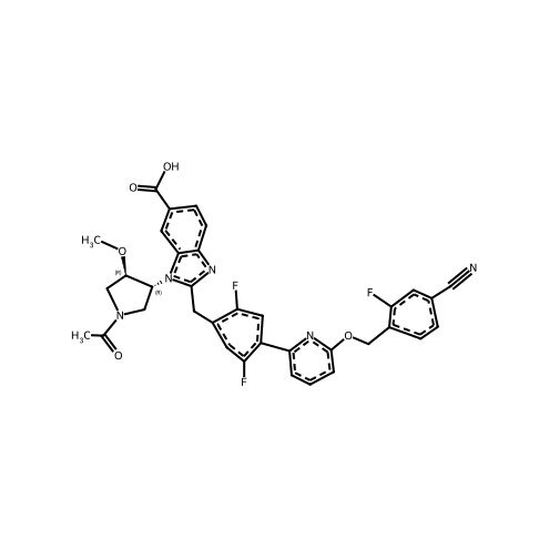 CO[C@@H]1CN(C(C)=O)C[C@H]1n1c(Cc2cc(F)c(-c3cccc(OCc4ccc(C#N)cc4F)n3)cc2F)nc2ccc(C(=O)O)cc21